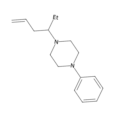 C=CCC(CC)N1CCN(c2ccccc2)CC1